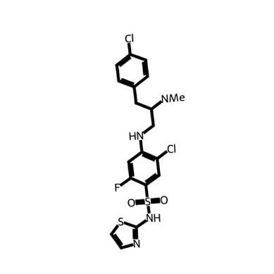 CNC(CNc1cc(F)c(S(=O)(=O)Nc2nccs2)cc1Cl)Cc1ccc(Cl)cc1